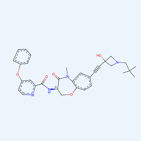 CN1C(=O)[C@H](NC(=O)c2cc(Oc3ccccc3)ccn2)COc2ccc(C#CC3(O)CN(CC(C)(C)C)C3)cc21